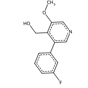 COc1cncc(-c2cccc(F)c2)c1CO